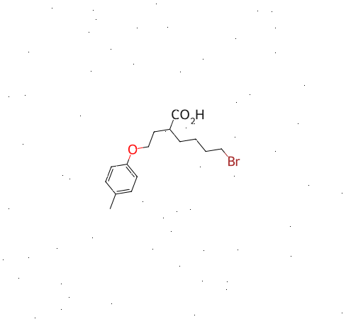 Cc1ccc(OCCC(CCCCBr)C(=O)O)cc1